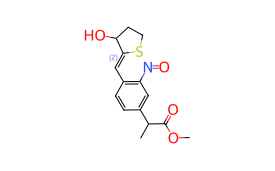 COC(=O)C(C)c1ccc(/C=C2\SCCC2O)c(N=O)c1